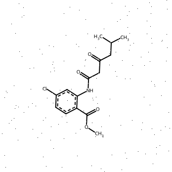 COC(=O)c1ccc(Cl)cc1NC(=O)CC(=O)CC(C)C